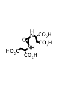 O=C(O)C[C@H](NC1OC1N[C@@H](CC(=O)O)C(=O)O)C(=O)O